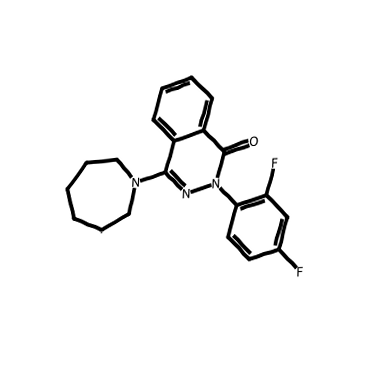 O=c1c2ccccc2c(N2C[CH]CCCC2)nn1-c1ccc(F)cc1F